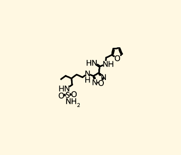 CCC(CCNc1nonc1C(=N)NCc1ccco1)CNS(N)(=O)=O